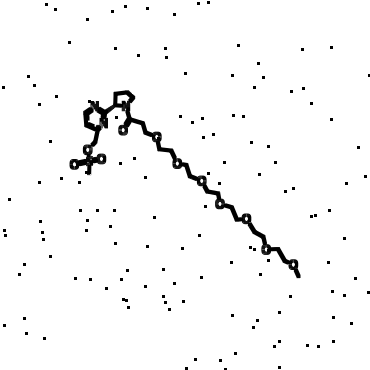 COCCOCCOCCOCCOCCOCCOCCC(=O)N1CCC[C@@H]1c1nccc(COS(C)(=O)=O)n1